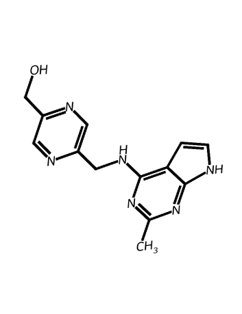 Cc1nc(NCc2cnc(CO)cn2)c2cc[nH]c2n1